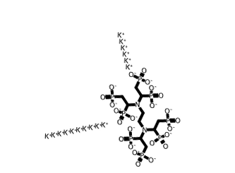 O=P([O-])([O-])CC(N(CCN(C(CP(=O)([O-])[O-])P(=O)([O-])[O-])C(CP(=O)([O-])[O-])P(=O)([O-])[O-])C(CP(=O)([O-])[O-])P(=O)([O-])[O-])P(=O)([O-])[O-].[K+].[K+].[K+].[K+].[K+].[K+].[K+].[K+].[K+].[K+].[K+].[K+].[K+].[K+].[K+].[K+]